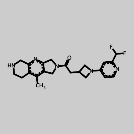 Cc1c2c(nc3c1CN(C(=O)CC1CN(c4ccnc(C(F)F)c4)C1)C3)CNCC2